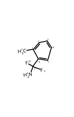 Cc1ccccc1C(N)(F)F